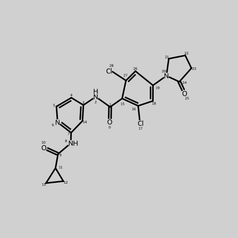 O=C(Nc1ccnc(NC(=O)C2CC2)c1)c1c(Cl)cc(N2CCCC2=O)cc1Cl